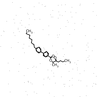 CCCCCCCCc1ccc(-c2ccc(C(=O)OC(C)C(=O)CCCC)cc2)cc1